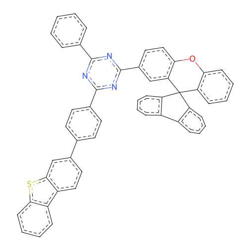 c1ccc(-c2nc(-c3ccc(-c4ccc5c(c4)sc4ccccc45)cc3)nc(-c3ccc4c(c3)C3(c5ccccc5O4)c4ccccc4-c4ccccc43)n2)cc1